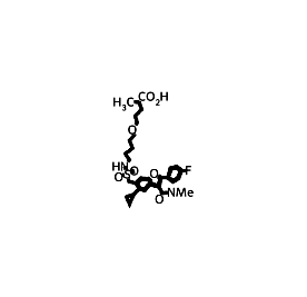 CNC(=O)c1c(-c2ccc(F)cc2)oc2cc(CS(=O)(=O)NCCCCCOCCCC(C)C(=O)O)c(C3CC3)cc12